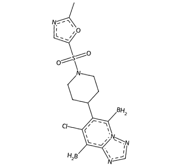 Bc1c(Cl)c(C2CCN(S(=O)(=O)c3cnc(C)o3)CC2)c(B)n2ncnc12